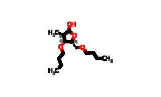 CCCCOC[C@H]1OC(O)[C@H](C)[C@@H]1OCCCC